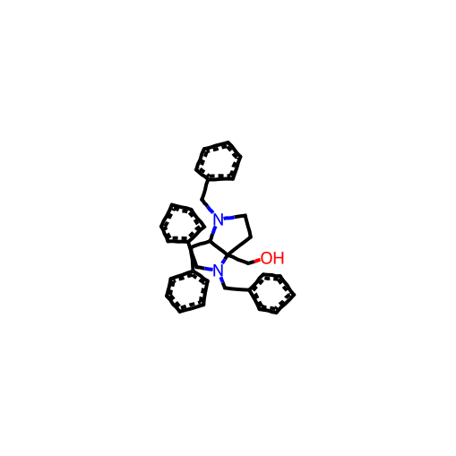 OCC1(N(Cc2ccccc2)Cc2ccccc2)CCN(Cc2ccccc2)C1Cc1ccccc1